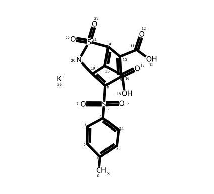 Cc1ccc(S(=O)(=O)c2cc(C(=O)O)c3c(C(=O)O)c2[N-]S3(=O)=O)cc1.[K+]